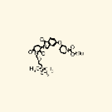 CC(C)(C)OC(=O)N1CCC[C@H](Oc2ccc3c(c2)CN(C2CCC(=O)N(COCC[Si](C)(C)C)C2=O)C3=O)C1